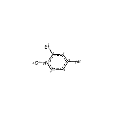 CCc1cc(Br)cc[n+]1[O-]